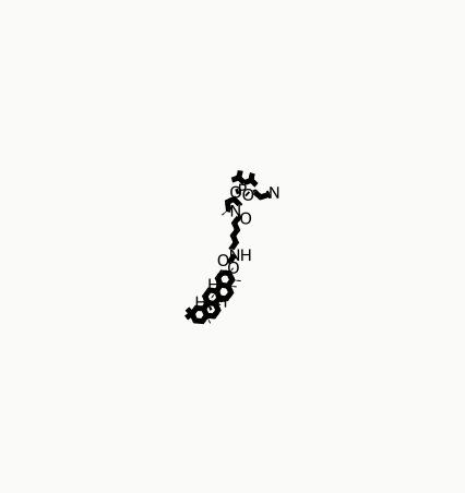 CC(C)C(C(C)C)P(OCCC#N)O[C@@H]1C[C@@H](C)N(C(=O)CCCCCNC(=O)O[C@H]2CC[C@@H]3[C@](C)(CC[C@H]4[C@@]3(C)CC[C@@]3(C)[C@@H]5CC(C)(C)CC[C@]5(C)CC[C@]43C)[C@H]2C)C1